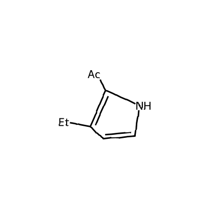 CCc1cc[nH]c1C(C)=O